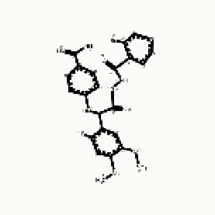 COc1cc(F)c(C(Nc2ccc(C(=N)N)cc2)C(=O)NNC(=O)c2ccncc2Br)cc1OC